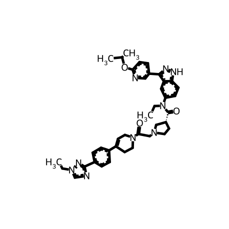 CCN(C(=O)[C@@H]1CCN(CC(=O)N2CC=C(c3ccc(-c4ncn(CC)n4)cc3)CC2)C1)c1ccc2[nH]nc(-c3ccc(OC(C)C)nc3)c2c1